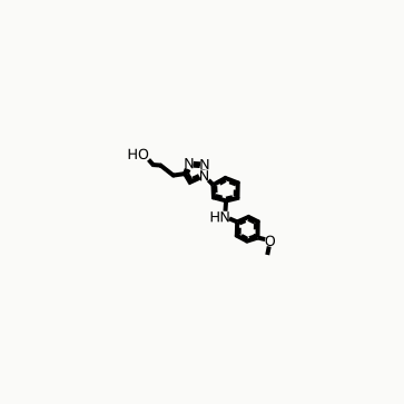 COc1ccc(Nc2cccc(-n3cc(CCCO)nn3)c2)cc1